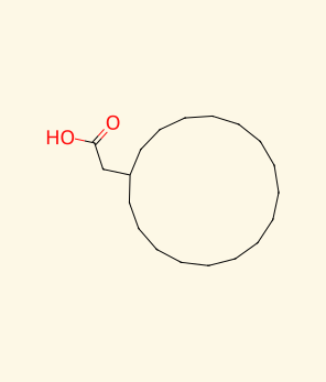 O=C(O)CC1CCCCCCCCCCCCCCCC1